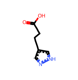 O=C(O)CCc1[c]n[nH]c1